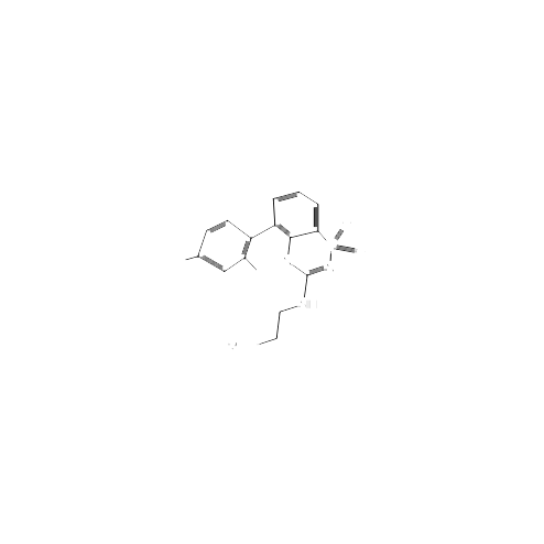 COCCNC1=NS(=O)(=O)c2cccc(-c3ccc(F)cc3Cl)c2N1